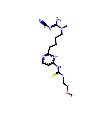 COCCNC(=S)Nc1ccnc(CCCCN(C)C(N)=NC#N)n1